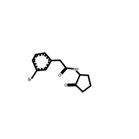 O=C(Cc1cccc(Br)c1)NC1CCCC1=O